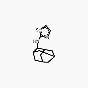 c1c[se]c(NC2C3CC4CC(C3)CC2C4)n1